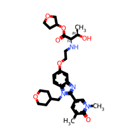 Cc1cc(-c2nc3cc(OCCN[C@H](C(=O)OC4CCOC4)[C@@H](C)O)ccc3n2CC2CCOCC2)cn(C)c1=O